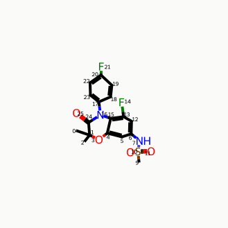 CC1(C)Oc2cc(NS(C)(=O)=O)cc(F)c2N(c2ccc(F)cc2)C1=O